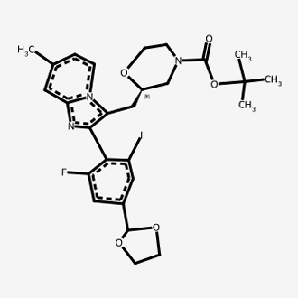 Cc1ccn2c(C[C@@H]3CN(C(=O)OC(C)(C)C)CCO3)c(-c3c(F)cc(C4OCCO4)cc3I)nc2c1